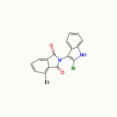 CCc1cccc2c1C(=O)N(c1c(Br)[nH]c3ccccc13)C2=O